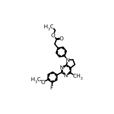 CCOC(=O)Cc1ccc(N2CCc3c(C)nc(-c4ccc(OC)c(F)c4)nc32)cc1